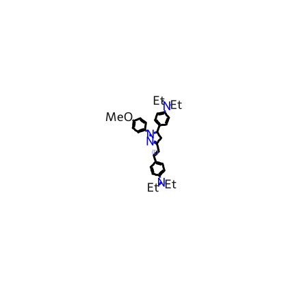 CCN(CC)c1ccc(/C=C/C2=NN(c3ccc(OC)cc3)C(c3ccc(N(CC)CC)cc3)C2)cc1